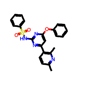 Cc1ccc(-c2cc(Oc3ccccc3)nc(NS(=O)(=O)c3ccccc3)n2)c(C)n1